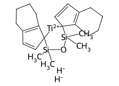 C[Si]1(C)O[Si](C)(C)[C]2(C=CC3=C2CCCC3)[Ti+2][C]12C=CC1=C2CCCC1.[H-].[H-]